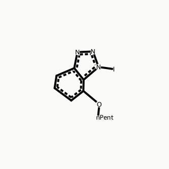 CCCCCOc1cccc2nnn(I)c12